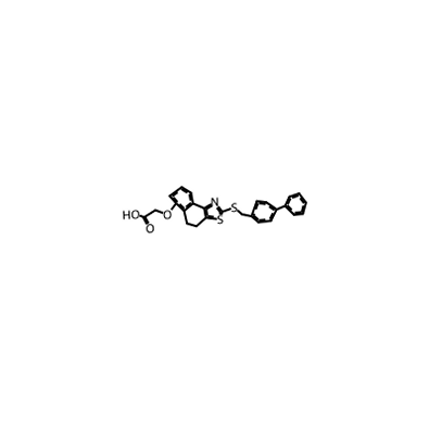 O=C(O)COc1cccc2c1CCc1sc(SCc3ccc(-c4ccccc4)cc3)nc1-2